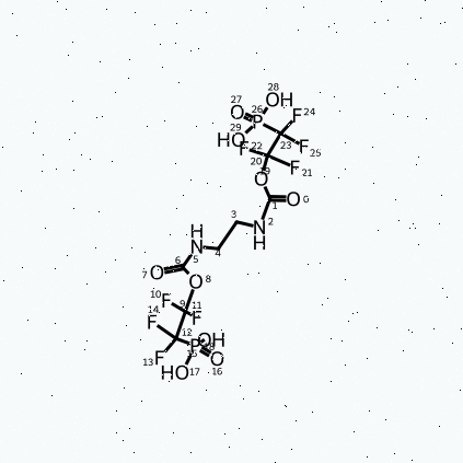 O=C(NCCNC(=O)OC(F)(F)C(F)(F)P(=O)(O)O)OC(F)(F)C(F)(F)P(=O)(O)O